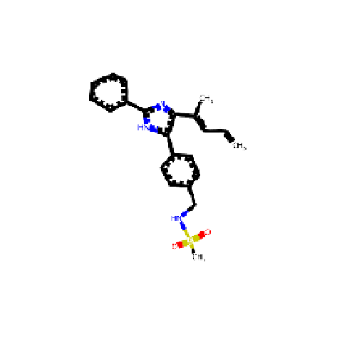 C=C/C=C(\C)c1nc(-c2ccccc2)[nH]c1-c1ccc(CNS(C)(=O)=O)cc1